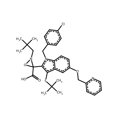 CC(C)(C)CN1OC1(C(=O)O)c1c(SC(C)(C)C)c2cc(OCc3ccccn3)ccc2n1Cc1ccc(Cl)cc1